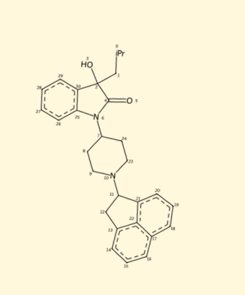 CC(C)CC1(O)C(=O)N(C2CCN(C3Cc4cccc5cccc3c45)CC2)c2ccccc21